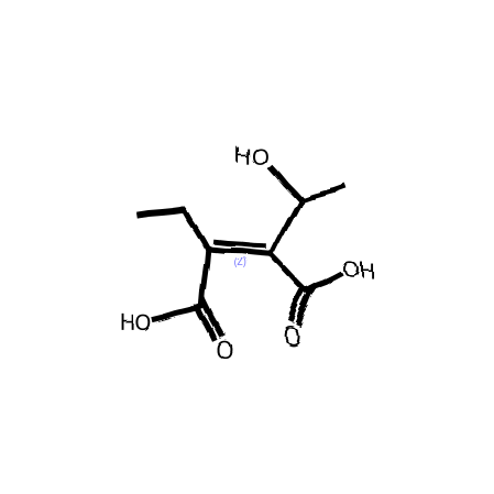 CC/C(C(=O)O)=C(/C(=O)O)C(C)O